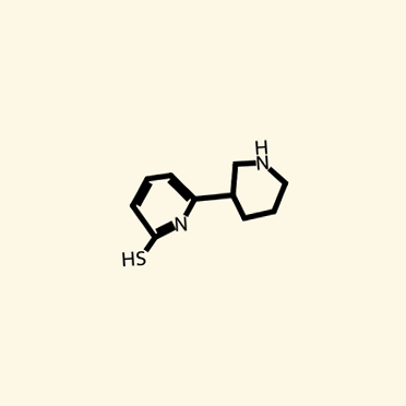 Sc1cccc(C2CCCNC2)n1